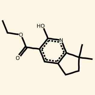 CCOC(=O)c1cc2c(nc1O)C(C)(C)CC2